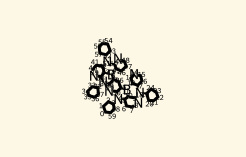 c1ccc(N2c3ccnc4c3B(c3cnccc3N4c3ccccc3)c3cc4c(nc32)N(c2ccccc2)c2nccc3c2B4c2cccnc2N3c2ccccc2)cc1